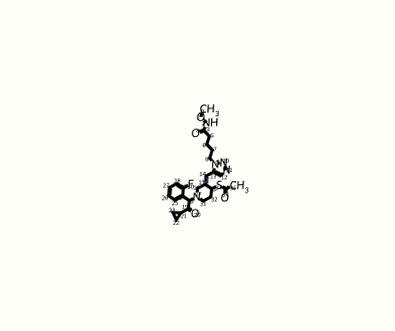 CONC(=O)CCCCn1nncc1/C=C1/CN(C(C(=O)C2CC2)c2ccccc2F)CCC1SC(C)=O